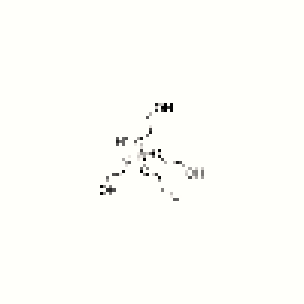 OCCO[N+](OCCO)(OCCO)OCCO.[H-]